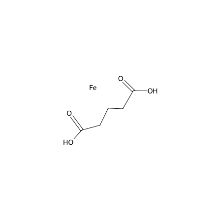 O=C(O)CCCC(=O)O.[Fe]